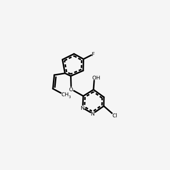 C/C=C\c1ccc(F)cc1Oc1nnc(Cl)cc1O